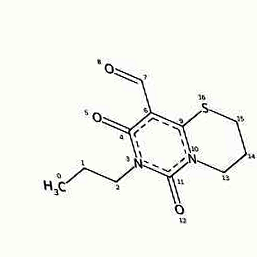 CCCn1c(=O)c(C=O)c2n(c1=O)CCCS2